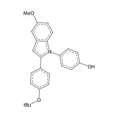 COc1ccc2c(c1)cc(-c1ccc(OC(C)(C)C)cc1)n2-c1ccc(O)cc1